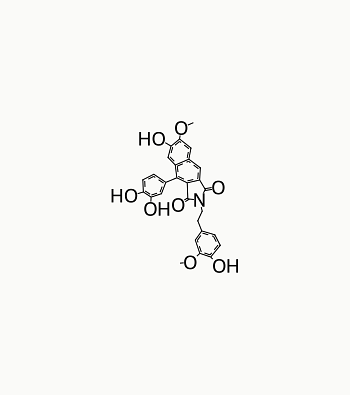 COc1cc(CCN2C(=O)c3cc4cc(OC)c(O)cc4c(-c4ccc(O)c(O)c4)c3C2=O)ccc1O